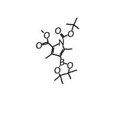 COC(=O)c1c(C)c(B2OC(C)(C)C(C)(C)O2)c(C)n1C(=O)OC(C)(C)C